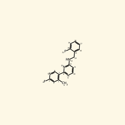 Cc1cc(F)ncc1-c1nccc(NCc2ccccc2F)n1